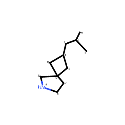 CC(C)CC1CC2(CCNC2)C1